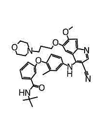 COc1cc2ncc(C#N)c(Nc3ccc(Oc4cccc(C(=O)NC(C)(C)C)c4)c(C)c3)c2cc1OCCCN1CCOCC1